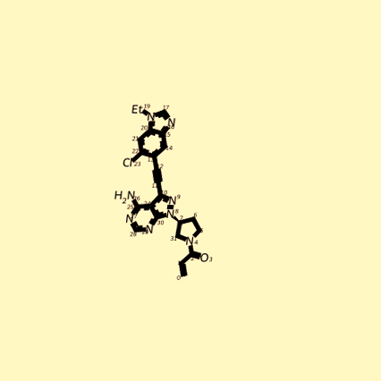 C=CC(=O)N1CC[C@H](n2nc(C#Cc3cc4ncn(CC)c4cc3Cl)c3c(N)ncnc32)C1